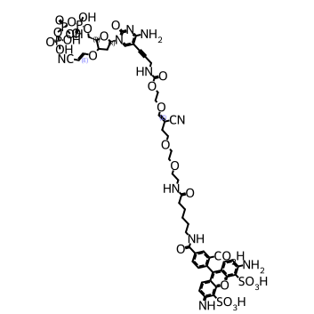 N#C/C=C/OC1C[C@H](n2cc(C#CCNC(=O)OCCO/C=C(\C#N)CCOCCOCCNC(=O)CCCCCNC(=O)c3ccc(-c4c5ccc(=N)c(S(=O)(=O)O)c-5oc5c(S(=O)(=O)O)c(N)ccc45)c(C(=O)O)c3)c(N)nc2=O)O[C@@H]1COP(=O)(O)OP(=O)(O)OP(=O)(O)O